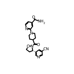 N#Cc1cncc([C@@H]2CCON2C(=O)C2CCN(c3cc(C(N)=O)ccn3)CC2)c1